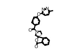 Cc1ccc(Oc2ccc(C(=O)N3CC[C@@]4(C3)OC(=O)c3ccccc34)cc2)nn1